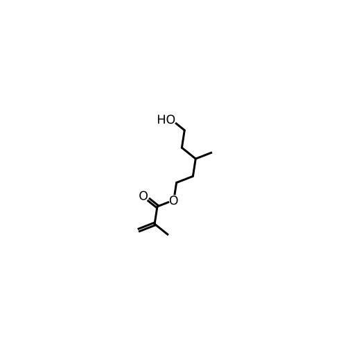 C=C(C)C(=O)OCCC(C)CCO